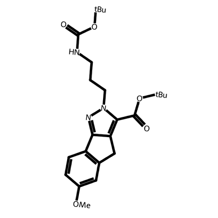 COc1ccc2c(c1)Cc1c-2nn(CCCNC(=O)OC(C)(C)C)c1C(=O)OC(C)(C)C